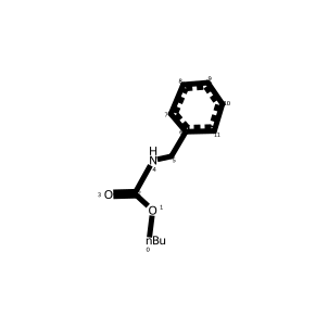 CCCCOC(=O)NCc1cc[c]cc1